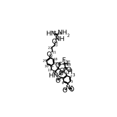 Cc1ccc([N+](=O)[O-])cc1S(=O)(=O)N[C@@H](Cc1ccc(OCCCONC(=N)N)cc1)C(=O)OC(=O)C(F)(F)F